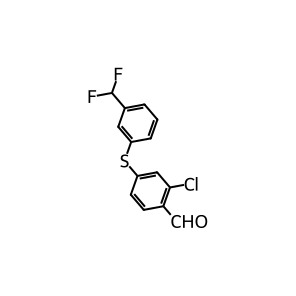 O=Cc1ccc(Sc2cccc(C(F)F)c2)cc1Cl